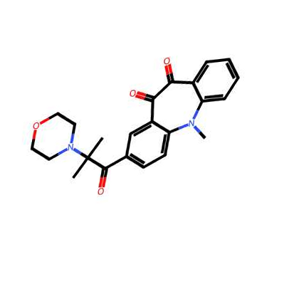 Cn1c2ccccc2c(=O)c(=O)c2cc(C(=O)C(C)(C)N3CCOCC3)ccc21